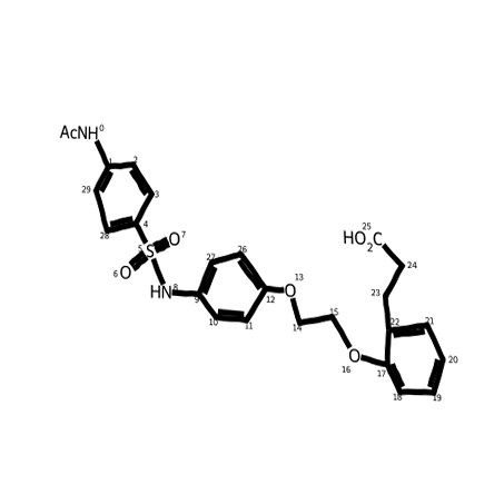 CC(=O)Nc1ccc(S(=O)(=O)Nc2ccc(OCCOc3ccccc3CCC(=O)O)cc2)cc1